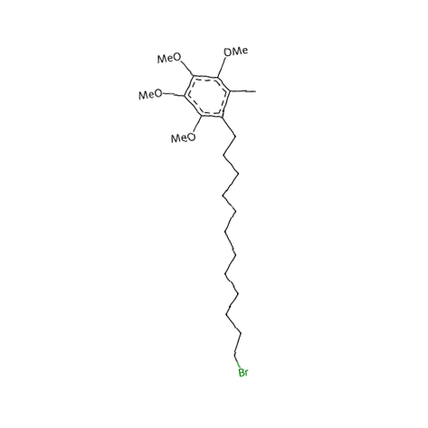 COc1c(C)c(CCCCCCCCCCCCBr)c(OC)c(OC)c1OC